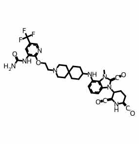 CN1C(=C=O)N(C2CCC(=C=O)NC2=C=O)c2cccc(NC3CCC4(CC3)CCN(CCOc3ncc(C(F)(F)F)cc3NC(N)=O)CC4)c21